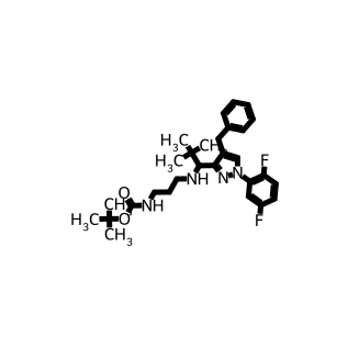 CC(C)(C)OC(=O)NCCCNC(c1nn(-c2cc(F)ccc2F)cc1Cc1ccccc1)C(C)(C)C